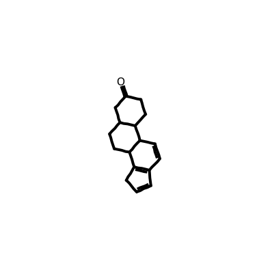 O=C1CCC2C(CCC3C4=C(C=CC4)C=CC32)C1